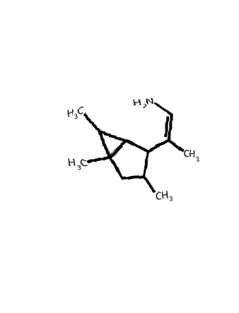 C/C(=C/N)C1C(C)CC2(C)C(C)C12